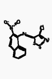 O=[N+]([O-])c1ccc2ccccc2c1N=c1ssnc1Cl